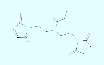 CCC(=O)N(CCN1C(=O)C=CC1=O)CCN1C(=O)C=CC1=O